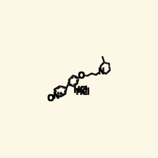 CC1CCCN(CCCOc2ccc(-c3cc[n+]([O-])cc3)cc2)C1.Cl.Cl